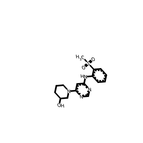 CS(=O)(=O)c1ccccc1Nc1cc(N2CCCC(O)C2)ncn1